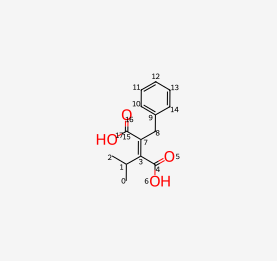 CC(C)/C(C(=O)O)=C(/Cc1ccccc1)C(=O)O